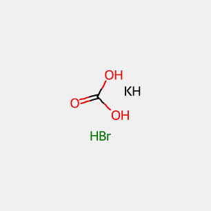 Br.O=C(O)O.[KH]